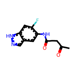 CC(=O)CC(=O)Nc1cc2cn[nH]c2cc1F